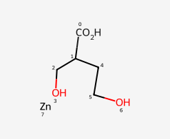 O=C(O)C(CO)CCO.[Zn]